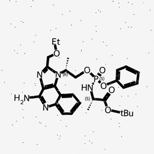 CCOCc1nc2c(N)nc3ccccc3c2n1[C@H](C)CO[P@@](=O)(N[C@@H](C)C(=O)OC(C)(C)C)Oc1ccccc1